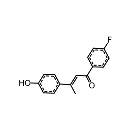 C/C(=C\C(=O)c1ccc(F)cc1)c1ccc(O)cc1